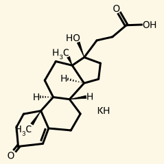 C[C@]12CCC(=O)C=C1CC[C@@H]1[C@@H]2CC[C@@]2(C)[C@H]1CC[C@@]2(O)CCC(=O)O.[KH]